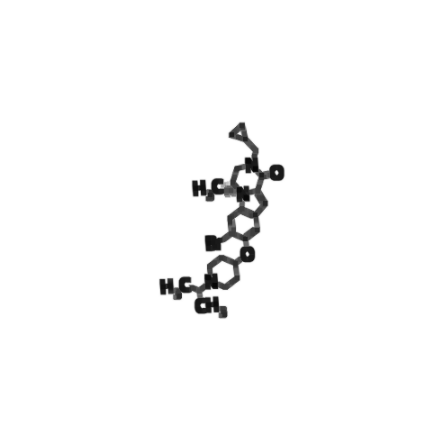 CC(C)N1CCC(Oc2cc3cc4n(c3cc2Br)[C@H](C)CN(CC2CC2)C4=O)CC1